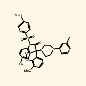 CCOc1c(OC)cccc1C1(N2CCN(c3ccnc(C)c3)CC2)C(=O)N(S(=O)(=O)c2ccc(OC)cn2)c2ccc(C#N)cc21